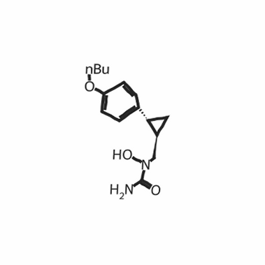 CCCCOc1ccc([C@@H]2C[C@H]2CN(O)C(N)=O)cc1